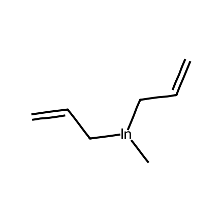 C=C[CH2][In]([CH3])[CH2]C=C